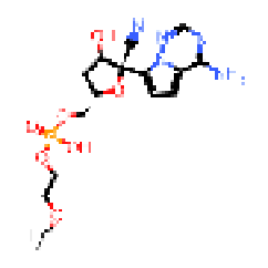 COCCOP(=O)(O)OC[C@@H]1C[C@@H](O)[C@](C#N)(c2ccc3c(N)ncnn23)O1